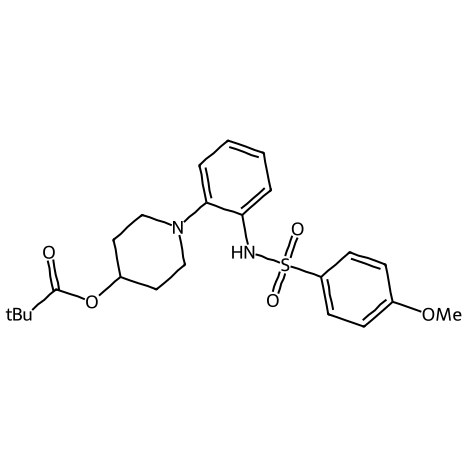 COc1ccc(S(=O)(=O)Nc2ccccc2N2CCC(OC(=O)C(C)(C)C)CC2)cc1